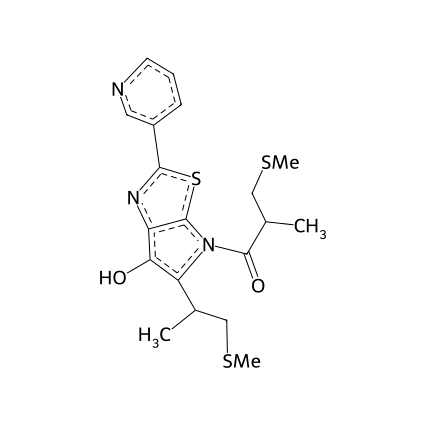 CSCC(C)C(=O)n1c(C(C)CSC)c(O)c2nc(-c3cccnc3)sc21